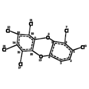 Clc1ccc2c(c1Cl)Oc1c(Cl)c(Cl)c(Cl)c(Cl)c1O2